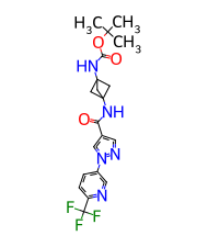 CC(C)(C)OC(=O)NC12CC(NC(=O)c3cnn(-c4ccc(C(F)(F)F)nc4)c3)(C1)C2